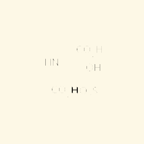 O=C(O)NC(=O)O.O=S(=O)(O)O